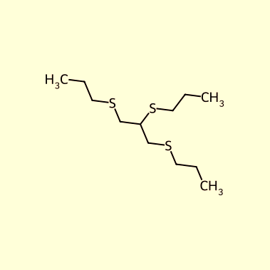 CCCSCC(CSCCC)SCCC